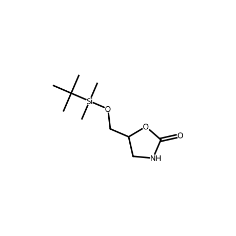 CC(C)(C)[Si](C)(C)OCC1CNC(=O)O1